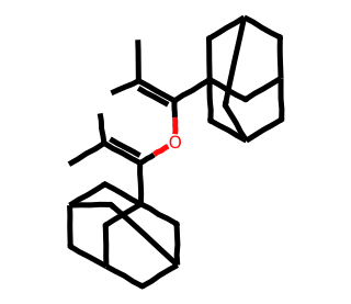 CC(C)=C(OC(=C(C)C)C12CC3CC(CC(C3)C1)C2)C12CC3CC(CC(C3)C1)C2